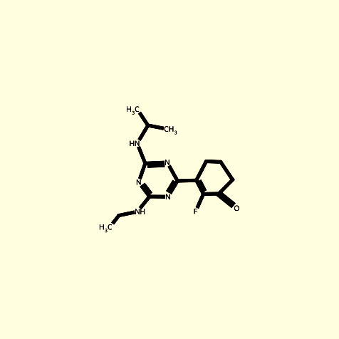 CCNc1nc(NC(C)C)nc(C2=C(F)C(=O)CCC2)n1